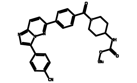 CC(C)(C)OC(=O)NC1CCN(C(=O)c2ccc(-c3ccc4ncc(-c5ccc(C#N)cc5)n4n3)cc2)CC1